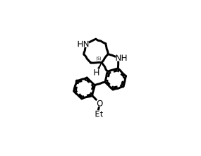 CCOc1ccccc1-c1cccc2c1[C@@H]1CCNCCC1N2